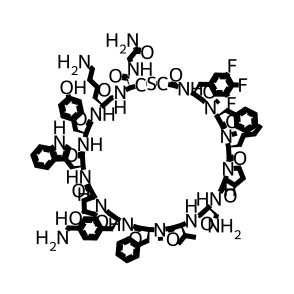 CCCC[C@H]1C(=O)N2CCC[C@@H]2C(=O)N[C@@H](CN)C(=O)N[C@@H](C(C)C)C(=O)N(C)[C@@H](Cc2ccccc2)C(=O)N[C@@H](Cc2ccc(CN)cc2)C(=O)N2C[C@@H](O)C[C@@H]2C(=O)N[C@@H](Cc2c[nH]c3ccccc23)C(=O)N[C@@H](Cc2ccc(O)cc2)C(=O)N[C@@H](CCCCN)C(=O)N[C@H](C(=O)NCC(N)=O)CSCC(=O)N[C@@H](Cc2cc(F)c(F)c(F)c2)C(=O)N(C)[C@@H](Cc2ccccc2)C(=O)N1C